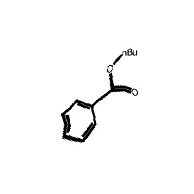 CCCCOC(=O)c1[c]cccc1